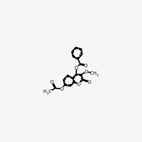 COc1c(OC(=O)c2ccccc2)c2ccc(OC(C)=O)cc2oc1=O